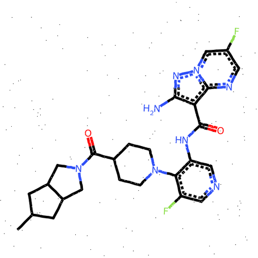 CC1CC2CN(C(=O)C3CCN(c4c(F)cncc4NC(=O)c4c(N)nn5cc(F)cnc45)CC3)CC2C1